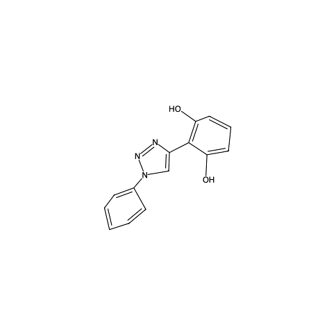 Oc1cccc(O)c1-c1cn(-c2ccccc2)nn1